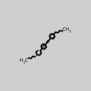 CCCCCc1ccc(C#CC23CCC([C@H]4CC[C@H](CCCCC)CC4)(CC2)CC3)cc1